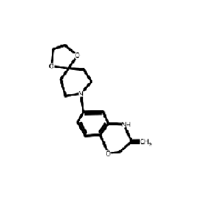 C=C1COc2ccc(N3CCC4(CC3)OCCO4)cc2N1